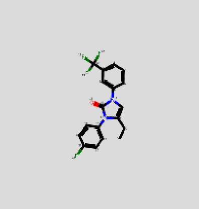 CCc1cn(-c2cccc(C(F)(F)F)c2)c(=O)n1-c1ccc(F)cc1